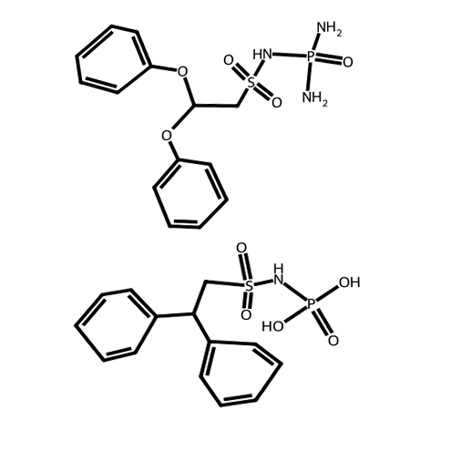 NP(N)(=O)NS(=O)(=O)CC(Oc1ccccc1)Oc1ccccc1.O=P(O)(O)NS(=O)(=O)CC(c1ccccc1)c1ccccc1